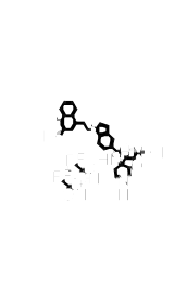 Cc1cc(CCn2ccc3cc(C(=O)NC4(CC(=O)NO)CCNCC4)ccc32)c2ccccc2n1.O=C(O)C(F)(F)F.O=C(O)C(F)(F)F